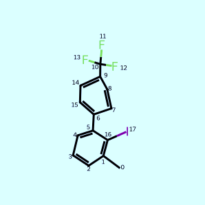 Cc1cccc(-c2ccc(C(F)(F)F)cc2)c1I